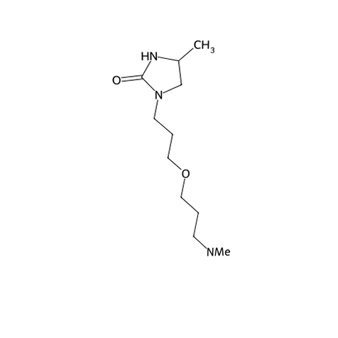 CNCCCOCCCN1CC(C)NC1=O